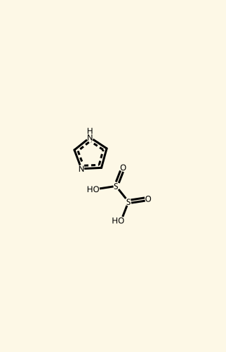 O=S(O)S(=O)O.c1c[nH]cn1